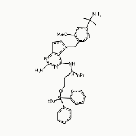 CCC[C@@H](CCO[Si](c1ccccc1)(c1ccccc1)C(C)(C)C)Nc1nc(N)nc2cnn(Cc3cnc(C(C)(C)N)cc3OC)c12